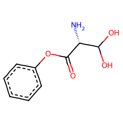 N[C@@H](C(=O)Oc1ccccc1)C(O)O